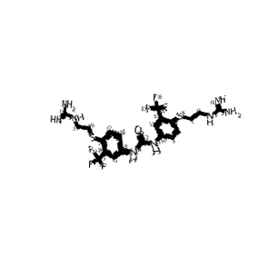 N=C(N)NCCSc1ccc(NC(=O)Nc2ccc(SCCNC(=N)N)c(C(F)(F)F)c2)cc1C(F)(F)F